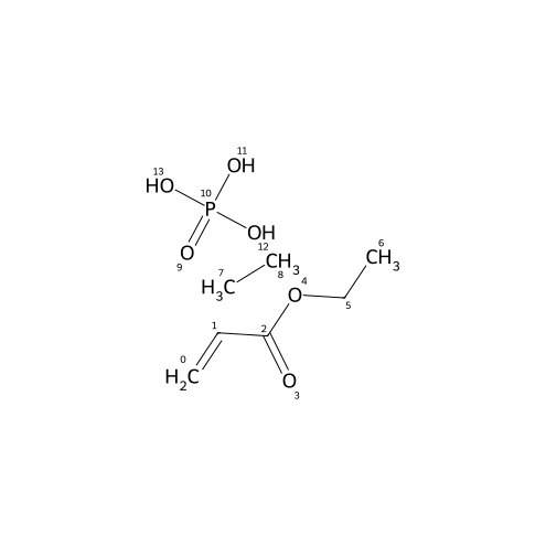 C=CC(=O)OCC.CC.O=P(O)(O)O